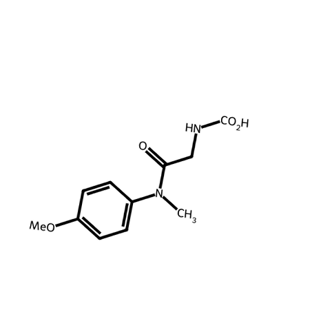 COc1ccc(N(C)C(=O)CNC(=O)O)cc1